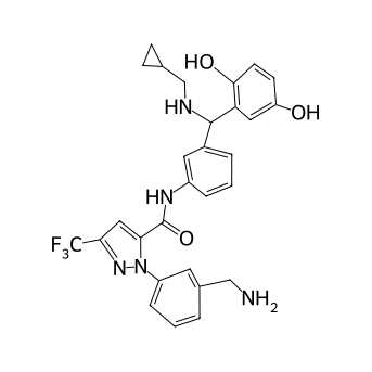 NCc1cccc(-n2nc(C(F)(F)F)cc2C(=O)Nc2cccc(C(NCC3CC3)c3cc(O)ccc3O)c2)c1